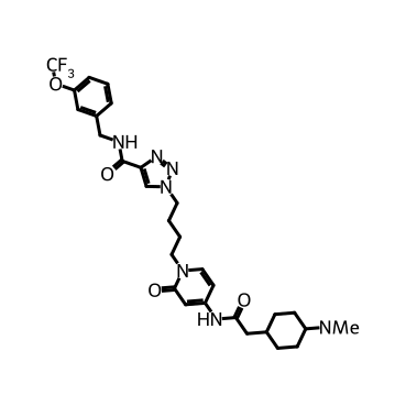 CNC1CCC(CC(=O)Nc2ccn(CCCCn3cc(C(=O)NCc4cccc(OC(F)(F)F)c4)nn3)c(=O)c2)CC1